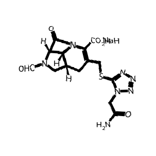 NC(=O)Cn1nnnc1SCC1=C(C(=O)O)N2C(=O)[C@@H]3[C@H]2[C@H](C1)CN3C=O.[NaH]